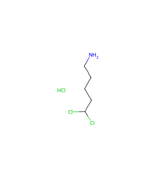 Cl.NCCCCC(Cl)Cl